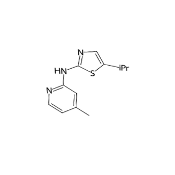 Cc1ccnc(Nc2ncc(C(C)C)s2)c1